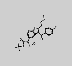 CCCCc1oc2ccc(N(C(=O)OC(C)(C)C)[S+](C)[O-])cc2c1C(=O)c1ccc(F)cc1